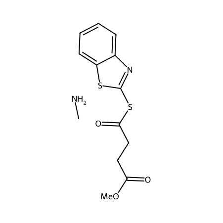 CN.COC(=O)CCC(=O)Sc1nc2ccccc2s1